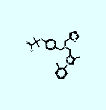 Cc1ccccc1-n1cc(C)c(CN(Cc2ccc(SC(C)(C)C(=O)O)cc2)Cc2ccco2)n1